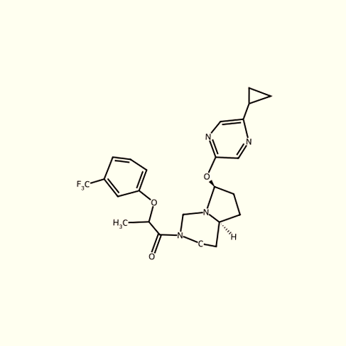 CC(Oc1cccc(C(F)(F)F)c1)C(=O)N1CC[C@@H]2CC[C@H](Oc3cnc(C4CC4)cn3)N2C1